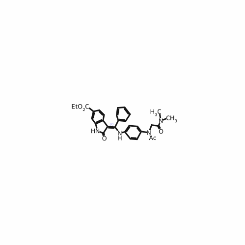 CCOC(=O)c1ccc2c(c1)NC(=O)/C2=C(\Nc1ccc(N(CC(=O)N(C)C)C(C)=O)cc1)c1ccccc1